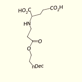 CCCCCCCCCCCCOC(=O)CCNC(CCC(=O)O)C(=O)O